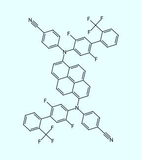 N#Cc1ccc(N(c2cc(F)c(-c3ccccc3C(F)(F)F)cc2F)c2ccc3ccc4c(N(c5ccc(C#N)cc5)c5cc(F)c(-c6ccccc6C(F)(F)F)cc5F)ccc5ccc2c3c54)cc1